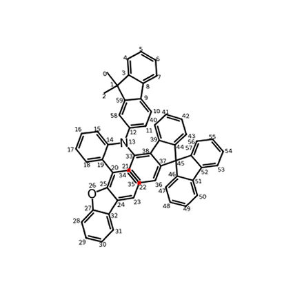 CC1(C)c2ccccc2-c2ccc(N(c3ccccc3-c3cccc4c3oc3ccccc34)c3cccc4c3-c3ccccc3C43c4ccccc4-c4ccccc43)cc21